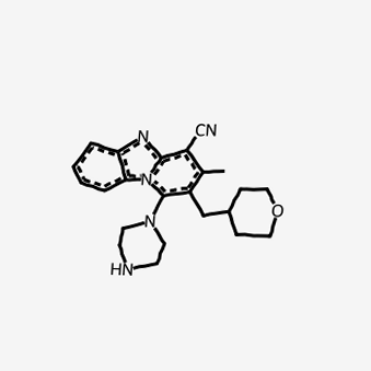 Cc1c(CC2CCOCC2)c(N2CCNCC2)n2c(nc3ccccc32)c1C#N